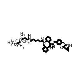 COC(C)(C)COC(C)(C)CCNC(=O)CCCCC(=O)N1Cc2ccccc2-c2nnn(Cc3ccc(C[C@@H]4NC5CC5C4=O)cc3)c2-c2ccccc21